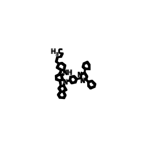 C/C=C\C=C/c1ccc2[nH]c3c(ccc4c5cc6ccccc6cc5n(-c5ccc(-c6nc(-c7ccccc7)cc(-c7ccccc7)n6)cc5)c43)c2c1